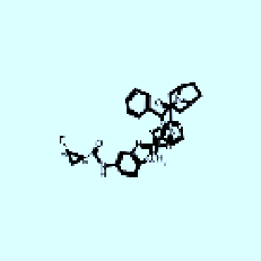 Cc1nnn(C(c2ccccc2)C2CC3CCC(C2)N3C(=O)c2cc(-c3nc4cc(NC(=O)[C@@H]5C[C@@H]5F)ccc4o3)ccn2)n1